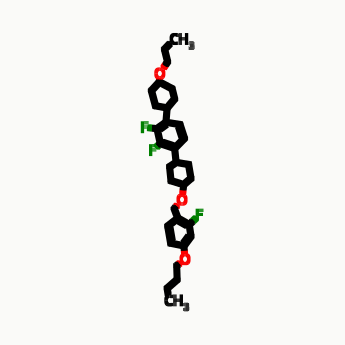 CCCCOc1ccc(COC2CCC(c3ccc(C4CCC(OCCC)CC4)c(F)c3F)CC2)c(F)c1